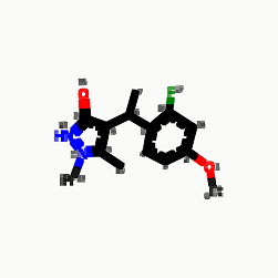 CCOc1ccc(C(C)c2c(C)n(C(C)C)[nH]c2=O)c(F)c1